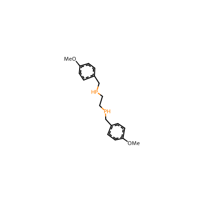 COc1ccc(CPCCPCc2ccc(OC)cc2)cc1